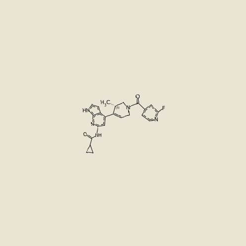 C[C@@H]1CN(C(=O)c2ccnc(F)c2)CC=C1c1cc(NC(=O)C2CC2)nc2[nH]ccc12